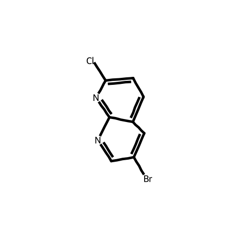 Clc1ccc2cc(Br)cnc2n1